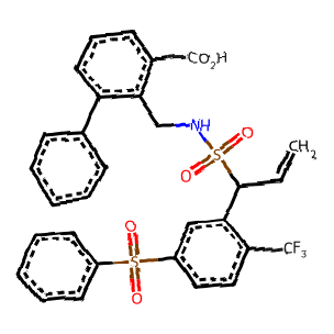 C=CC(c1cc(S(=O)(=O)c2ccccc2)ccc1C(F)(F)F)S(=O)(=O)NCc1c(C(=O)O)cccc1-c1ccccc1